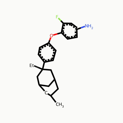 CCC1(c2ccc(Oc3ccc(N)cc3F)cc2)CC2CC(C)CC(C2)C1